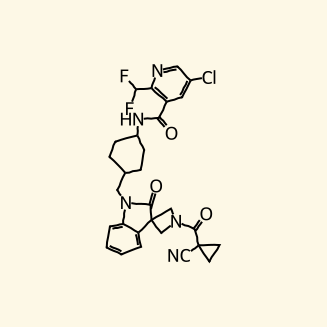 N#CC1(C(=O)N2CC3(C2)C(=O)N(CC2CCC(NC(=O)c4cc(Cl)cnc4C(F)F)CC2)c2ccccc23)CC1